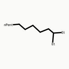 CCCCCCCCCCC(CC)CC